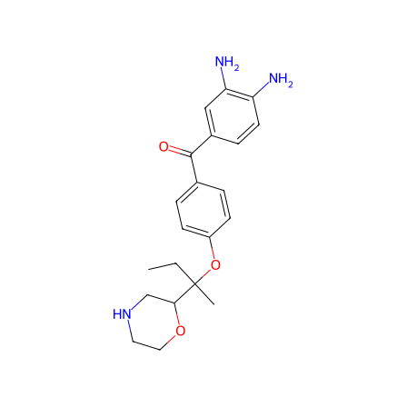 CCC(C)(Oc1ccc(C(=O)c2ccc(N)c(N)c2)cc1)C1CNCCO1